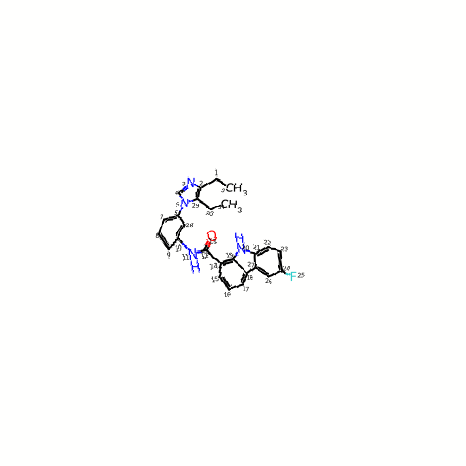 CCc1ncn(-c2cccc(NC(=O)c3cccc4c3[nH]c3ccc(F)cc34)c2)c1CC